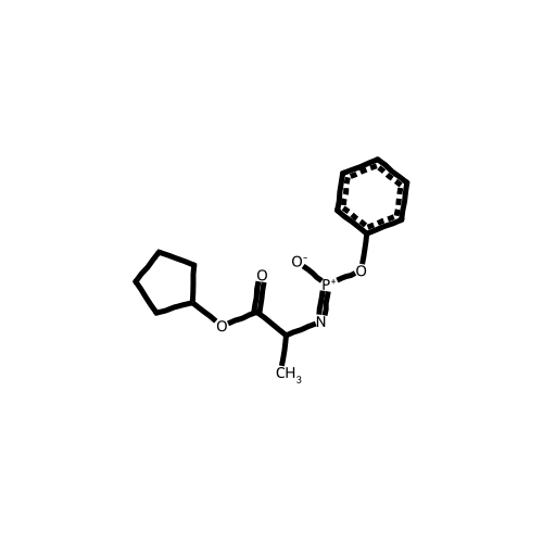 CC(N=[P+]([O-])Oc1ccccc1)C(=O)OC1CCCC1